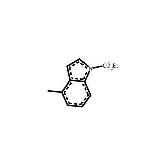 CCOC(=O)n1ccc2c(C)cccc21